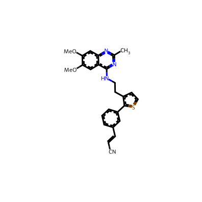 COc1cc2nc(C)nc(NCCc3ccsc3-c3cccc(C=CC#N)c3)c2cc1OC